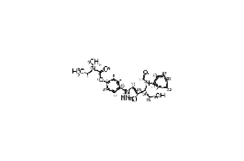 CCN(C)C(=O)Oc1ccc(N2C=C([C@H](CO)N(C=O)c3ccccc3)ON2)cc1